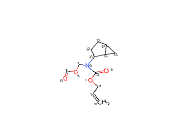 C=CCOC(=O)N(COC=O)C1CCC2CC21